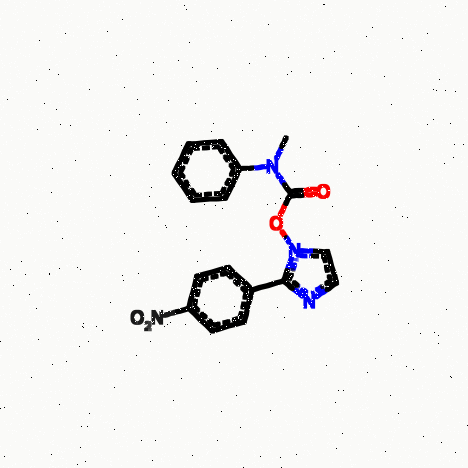 CN(C(=O)On1ccnc1-c1ccc([N+](=O)[O-])cc1)c1ccccc1